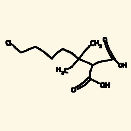 CC(C)(CCCCCl)C(C(=O)O)C(=O)O